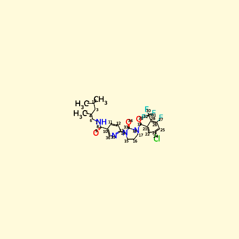 CC(C)CC(C)CNC(=O)c1ccc(N2CCCN(C(=O)c3cc(Cl)cc(F)c3C(F)(F)F)C2=O)nc1